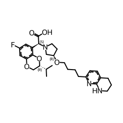 CC(C)[C@@H]1COc2cc(F)cc([C@@H](C(=O)O)N3CC[C@@H](OCCCCc4ccc5c(n4)NCCC5)C3)c2O1